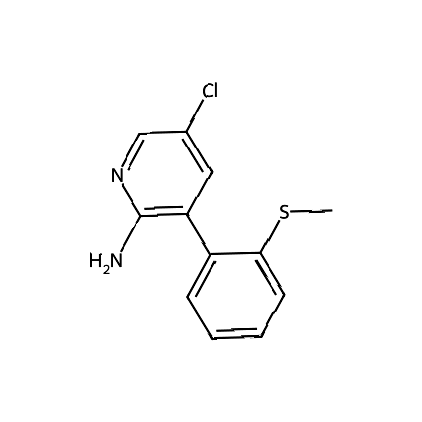 CSc1ccccc1-c1cc(Cl)cnc1N